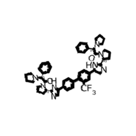 O=C([C@@H](c1ccccc1)N1CCCC1)N1CCC[C@H]1C1=NCC(c2ccc(-c3ccc(-c4cnc([C@@H]5CCCN5C(=O)[C@@H](c5ccccc5)N5CCCC5)[nH]4)cc3)c(C(F)(F)F)c2)N1